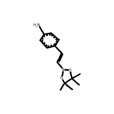 CC1(C)OB(/C=C/c2ccc(N)cc2)OC1(C)C